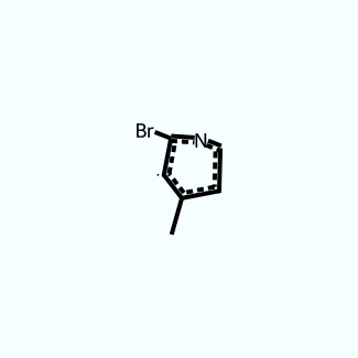 Cc1[c]c(Br)ncc1